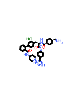 Cl.NC[C@H]1CC[C@H](C(=O)N[C@@H](Cc2ccc(-c3ccccc3C(=O)NC3CCNCC3)cc2)C(=O)Nc2ccc(-c3nn[nH]n3)cc2)CC1